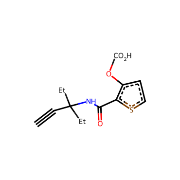 C#CC(CC)(CC)NC(=O)c1sccc1OC(=O)O